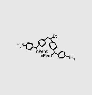 CCCCCC(c1ccc(N)cc1)c1ccc(CC(CC)c2ccc(C(CCCCC)c3ccc(N)cc3)cc2)cc1